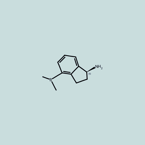 CB(C)c1cccc2c1CC[C@@H]2N